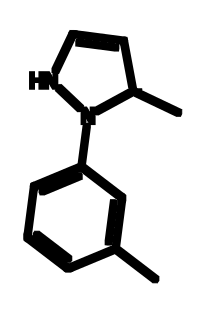 C[C]1C=CNN1c1cccc(C)c1